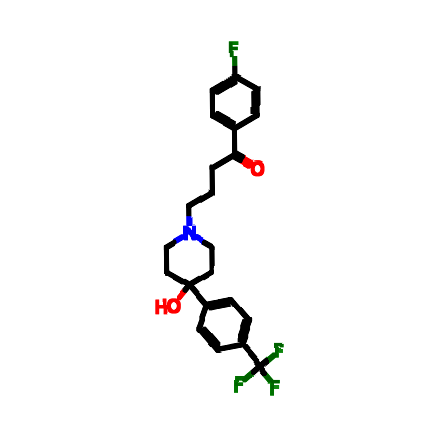 O=C(CCCN1CCC(O)(c2ccc(C(F)(F)F)cc2)CC1)c1ccc(F)cc1